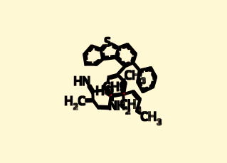 C=C(/C=C\C(O)/C=C\C(=C/C)c1c(-c2ccccc2)ccc2sc3ccccc3c12)C(=N)/N=C(\N)C(C)(/C=C\CC)CC